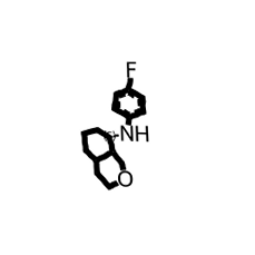 Fc1ccc(N[C@H]2CCCC3CCOCC32)cc1